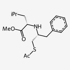 COC(=O)[C@H](CC(C)C)N[C@@H](CSC(C)=O)Cc1ccccc1